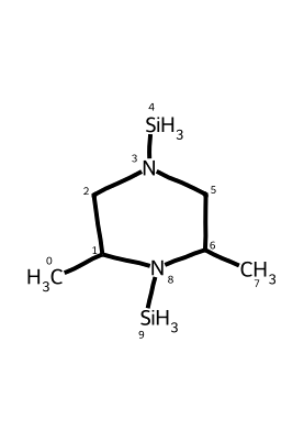 CC1CN([SiH3])CC(C)N1[SiH3]